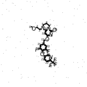 COCCN1CCCn2c1cc(OCc1cc(F)c(Oc3ccc(C(F)(F)F)nc3)c(F)c1)nc2=O